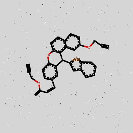 C#CCOC(=C)/C=C\c1ccc2c(c1)C(c1cc3ccccc3s1)c1c(ccc3ccc(OCC#C)cc13)O2